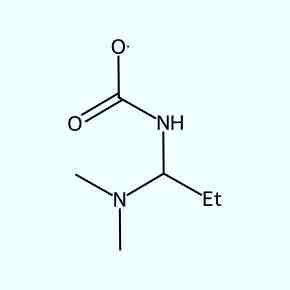 CCC(NC([O])=O)N(C)C